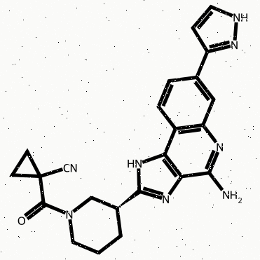 N#CC1(C(=O)N2CCC[C@H](c3nc4c(N)nc5cc(-c6cc[nH]n6)ccc5c4[nH]3)C2)CC1